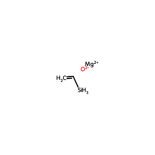 C=C[SiH3].[Mg+2].[O-2]